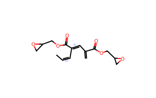 C=C(/C=C(\C=C/C)C(=O)OCC1CO1)C(=O)OCC1CO1